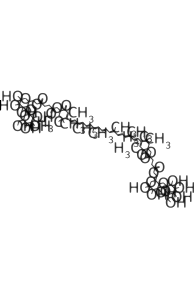 CC1=C(/C=C/C(C)=C/C=C/C(C)=C/C=C/C=C(C)/C=C/C=C(C)/C=C/C2=C(C)C(=O)C(OC(=O)CCC(=O)OCC3OC(O)C(O)C(O)C3OC3OC(CO)C(O)C(O)C3O)CC2(C)C)C(C)(C)CC(OC(=O)CCC(=O)OCC2OC(O)C(O)C(O)C2OC2OC(CO)C(O)C(O)C2O)C1=O